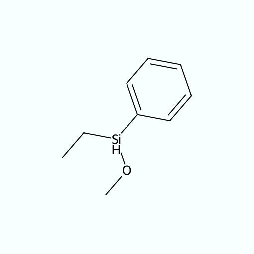 CC[SiH](OC)c1ccccc1